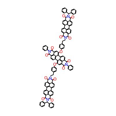 O=C1c2ccc3c4ccc5c6c(ccc(c7ccc(c2c37)C(=O)N1CCc1ccc(Oc2cc3c7c(ccc8c9c(Oc%10ccc(CCN%11C(=O)c%12ccc%13c%14ccc%15c%16c(ccc(c%17ccc(c%12c%13%17)C%11=O)c%16%14)C(=O)N(C(c%11ccccc%11)c%11ccccc%11)C%15=O)cc%10)cc%10c%11c(ccc(c2c78)c%119)C(=O)N(c2ccccc2)C%10=O)C(=O)N(c2ccccc2)C3=O)cc1)c64)C(=O)N(C(c1ccccc1)c1ccccc1)C5=O